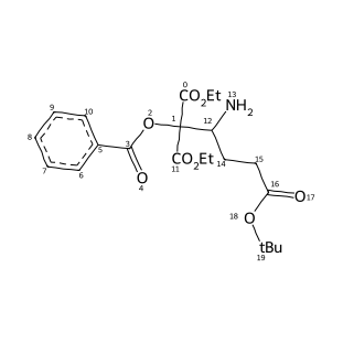 CCOC(=O)C(OC(=O)c1ccccc1)(C(=O)OCC)C(N)CCC(=O)OC(C)(C)C